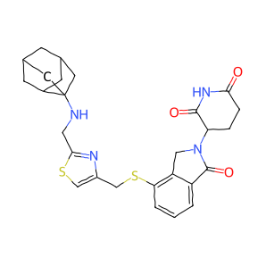 O=C1CCC(N2Cc3c(SCc4csc(CNC56CC7CC(CC5C7)C6)n4)cccc3C2=O)C(=O)N1